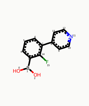 OB(O)c1cccc(-c2ccncc2)c1F